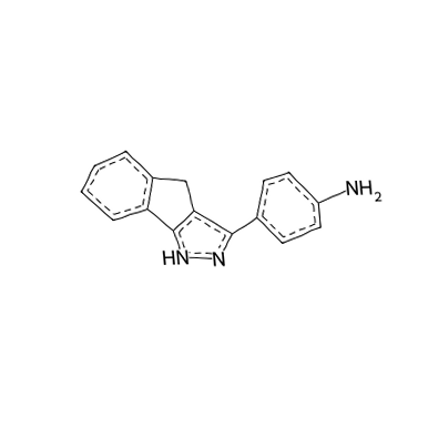 Nc1ccc(-c2n[nH]c3c2Cc2ccccc2-3)cc1